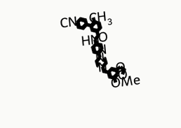 [C-]#[N+]c1ccc(-c2cc(C(=O)Nc3ccc(N4CCN(Cc5cc(OC)c6c(c5)OCO6)CC4)nc3)ccc2C)cc1